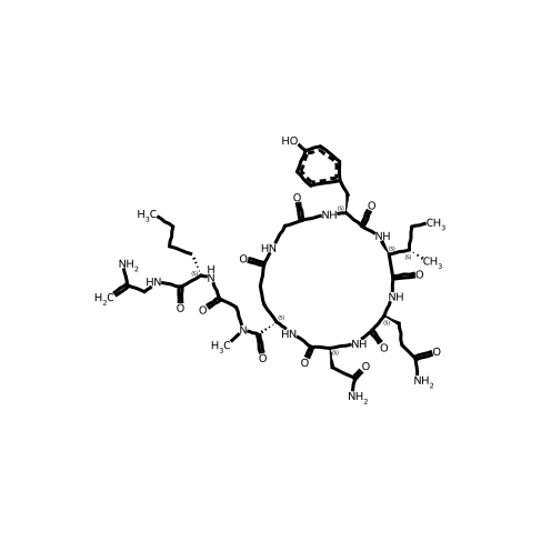 C=C(N)CNC(=O)[C@H](CCCC)NC(=O)CN(C)C(=O)[C@@H]1CCC(=O)NCC(=O)N[C@@H](Cc2ccc(O)cc2)C(=O)N[C@@H]([C@@H](C)CC)C(=O)N[C@@H](CCC(N)=O)C(=O)N[C@@H](CC(N)=O)C(=O)N1